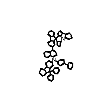 c1ccc(-c2ccc(N(c3ccc4c(c3)C(c3ccccc3)(c3ccccc3)c3ccccc3-4)c3ccc(-c4ccc5c(c4)C4(c6ccccc6-5)c5ccccc5-n5c6ccccc6c6cccc4c65)c4ccccc34)cc2)cc1